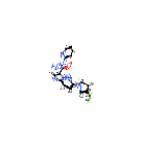 O=C(Nc1ccccn1)c1cnc2ccc(N3CC[C@H](F)C3)nn12